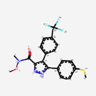 CON(C)C(=O)c1n[nH]c(-c2ccc(SC)cc2)c1-c1ccc(C(F)(F)F)cc1